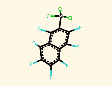 Fc1c(F)c(F)c2c(F)c([Si](Cl)(Cl)Cl)c(F)c(F)c2c1F